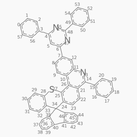 c1ccc(-c2cc(-c3ccc4c(c3)nc(-c3ccccc3)c3ccc5c(c34)Sc3ccccc3C53c4ccccc4-c4ccccc43)nc(-c3ccccc3)n2)cc1